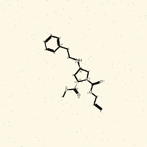 C=CCOC(=O)N1C[C@H](NCCc2ccccc2)C[C@H]1C(=O)OC